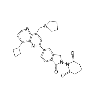 O=C1c2ccc(-c3cc(CN4CCCC4)c4nccc(C5CCC5)c4n3)cc2CN1N1C(=O)CCCC1=O